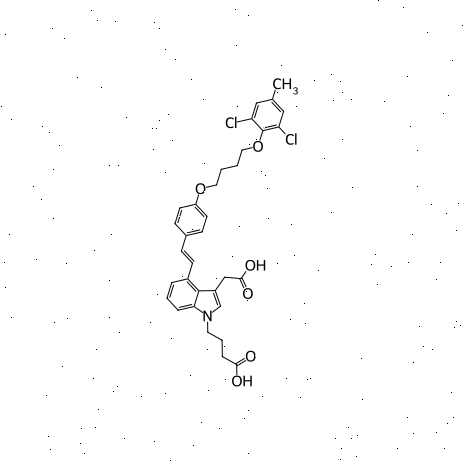 Cc1cc(Cl)c(OCCCCOc2ccc(C=Cc3cccc4c3c(CC(=O)O)cn4CCCC(=O)O)cc2)c(Cl)c1